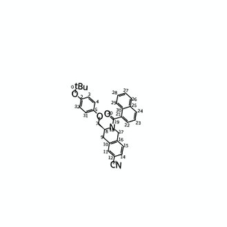 CC(C)(C)Oc1ccc(OC[C@@H]2Cc3cc(C#N)ccc3CN2C(=O)c2cccc3ccccc23)cc1